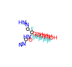 C[C@H]1CN(Cc2cccc(-c3cc(CNC(=O)c4cccc(CN5CCN(C)CC5)c4)ccc3F)c2)CCN1.O=C(O)C(F)(F)F.O=C(O)C(F)(F)F.O=C(O)C(F)(F)F.O=C(O)C(F)(F)F